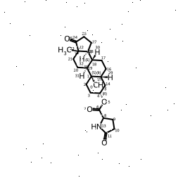 C[C@]12CC[C@@H](OC(=O)C3CCC(=O)N3)C[C@H]1CC[C@@H]1[C@@H]2CC[C@]2(C)C(=O)CC[C@@H]12